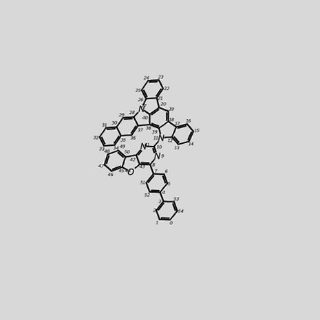 c1ccc(-c2ccc(-c3nc(-n4c5ccccc5c5cc6c7ccccc7n7c8cc9ccccc9cc8c(c54)c67)nc4c3oc3ccccc34)cc2)cc1